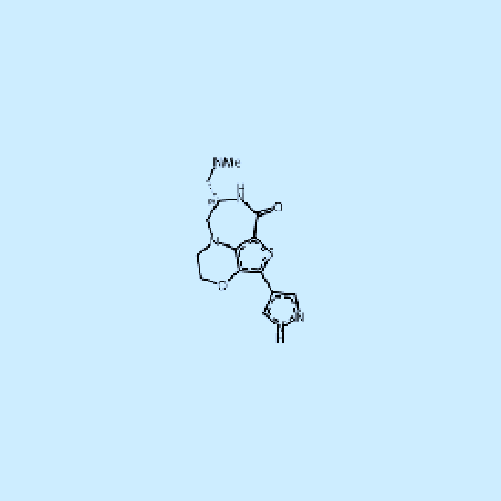 CNC[C@H]1CN2CCOc3c(-c4cn[nH]c4)sc(c32)C(=O)N1